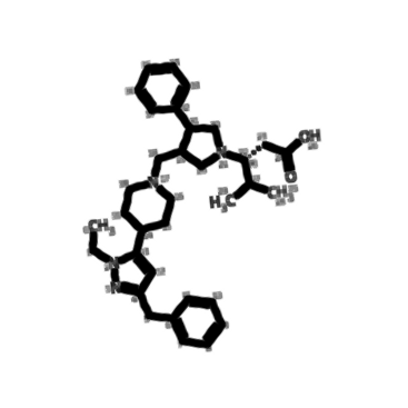 CCn1nc(Cc2ccccc2)cc1C1CCN(CC2CN([C@H](CC(=O)O)C(C)C)CC2c2ccccc2)CC1